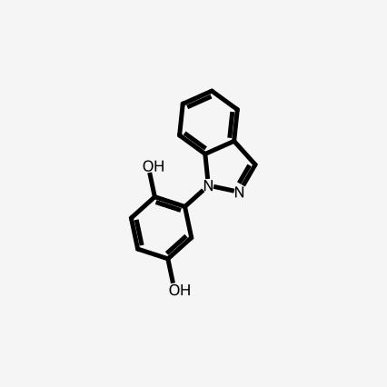 Oc1ccc(O)c(-n2ncc3ccccc32)c1